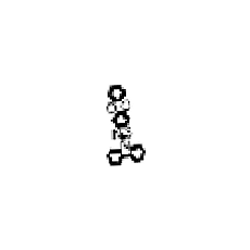 c1ccc2c(c1)Oc1cc3nc(-n4c5ccccc5c5ccccc54)sc3cc1O2